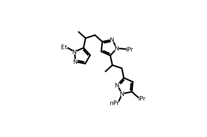 CCCn1nc(CC(C)c2cc(CC(C)c3ccnn3CC)nn2C(C)C)cc1C(C)C